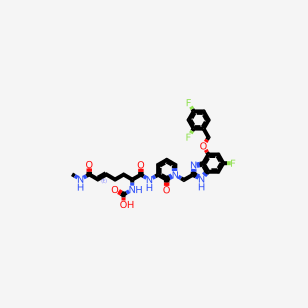 CNC(=O)/C=C/CCC(NC(=O)O)C(=O)Nc1cccn(Cc2nc3c(OCc4ccc(F)cc4F)cc(F)cc3[nH]2)c1=O